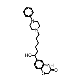 O=C1COc2ccc(C(O)CCCCCN3CCN(c4ccccc4)CC3)cc2N1